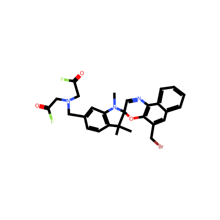 CN1c2cc(CN(CC(=O)F)CC(=O)F)ccc2C(C)(C)C12C=Nc1c(c(CBr)cc3ccccc13)O2